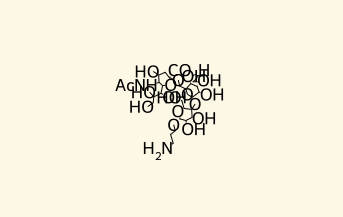 CC(=O)NC1C(O)CC(OCC2OC(OC3C(CO)OC(OCCCN)C(O)C3O)C(O)C(O)C2O)(C(=O)O)OC1C(O)C(O)CO